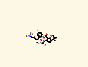 CCN(CC)CC/C=C\c1cc(F)ccc1S(=O)(=O)N(C(=O)OC)c1ccc2c(c1C(=O)OC)OCC(C)C2C